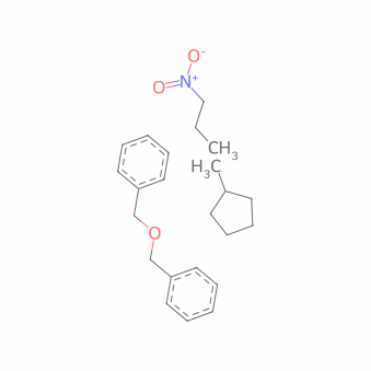 CC1CCCC1.CCC[N+](=O)[O-].c1ccc(COCc2ccccc2)cc1